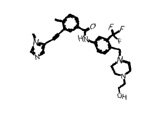 Cc1ccc(C(=O)Nc2ccc(CN3CCN(CCO)CC3)c(C(F)(F)F)c2)cc1C#Cc1cncn1C